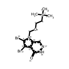 C[Si](C)(C)CCOCn1c(Br)c(Br)c2c(=O)[nH]ncc21